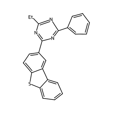 CCc1nc(-c2ccccc2)nc(-c2ccc3sc4ccccc4c3c2)n1